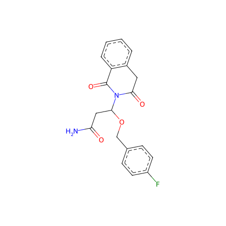 NC(=O)CC(OCc1ccc(F)cc1)N1C(=O)Cc2ccccc2C1=O